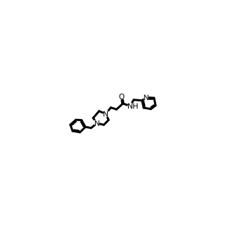 O=C(CCN1CCN(Cc2ccccc2)CC1)NCc1ccccn1